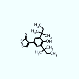 CCC(C)(C)c1cc(-c2cssc2=S)cc(C(C)(C)CC)c1O